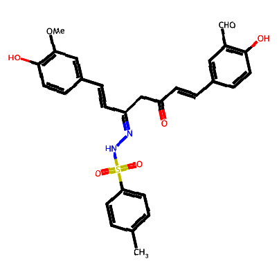 COc1cc(/C=C/C(CC(=O)/C=C/c2ccc(O)c(C=O)c2)=N\NS(=O)(=O)c2ccc(C)cc2)ccc1O